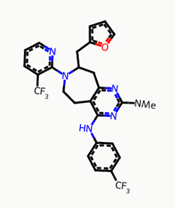 CNc1nc2c(c(Nc3ccc(C(F)(F)F)cc3)n1)CCN(c1ncccc1C(F)(F)F)C(Cc1ccco1)C2